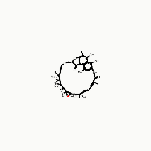 CO[C@@H]1/C=C\O[C@]2(C)Oc3c(C)c(O)c4c(O)c(cc(O)c4c3C2=O)NC(=O)/C(C)=C\C=C/[C@H](C)[C@@H](O)[C@H](C)[C@H](O)[C@H](C)[C@H](OC(C)=O)[C@@H]1C